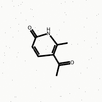 CC(=O)c1ccc(=O)[nH]c1C